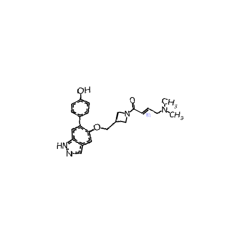 CN(C)C/C=C/C(=O)N1CC(COc2cc3cn[nH]c3cc2-c2ccc(O)cc2)C1